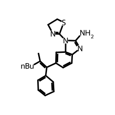 CCCCC(C)=C(c1ccccc1)c1ccc2nc(N)n(C3=NCCS3)c2c1